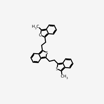 Cc1oc(CCc2sc(CCc3sc(C)c4ccccc34)c3ccccc23)c2ccccc12